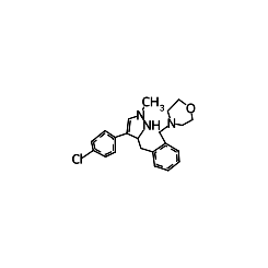 CN1C=C(c2ccc(Cl)cc2)C(Cc2ccccc2CN2CCOCC2)N1